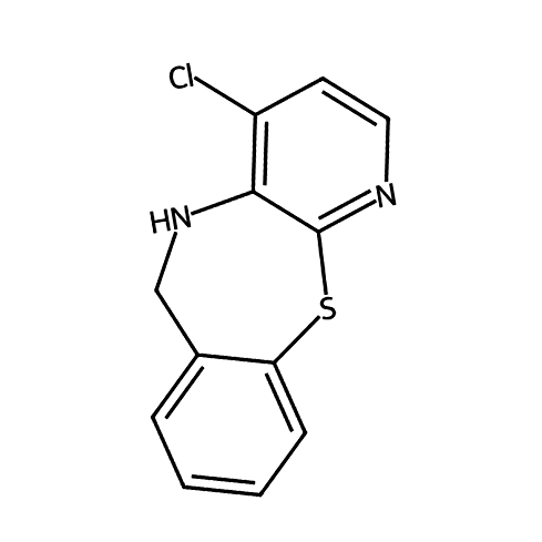 Clc1ccnc2c1NCc1ccccc1S2